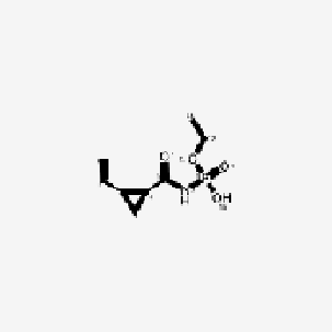 C=C[C@@H]1C[C@@H]1C(=O)NP(=O)(O)OCC